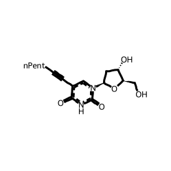 CCCCCC#Cc1cn([C@H]2C[C@H](O)[C@@H](CO)O2)c(=O)[nH]c1=O